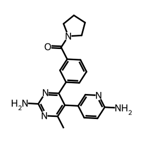 Cc1nc(N)nc(-c2cccc(C(=O)N3CCCC3)c2)c1-c1ccc(N)nc1